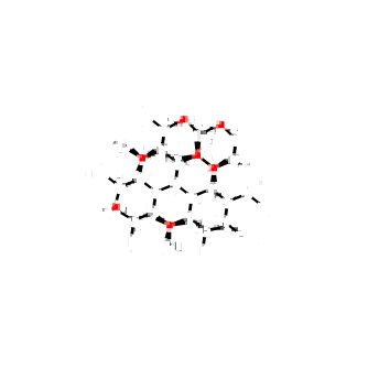 PPP(P)P(P(P)P)P(P(P(P)P)P(P)P)P(P(P(P)P)P(P)P)P(P(P(P(P)P)P(P)P)P(P(P)P)P(P)P)P(P(P(P)P)P(P)P)P(P(P)P)P(P)P